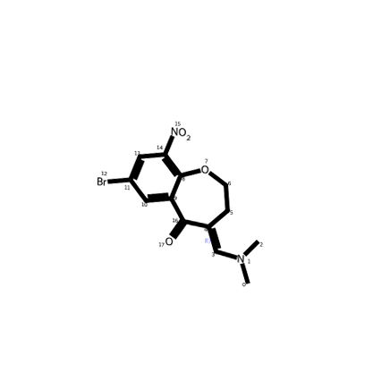 CN(C)/C=C1\CCOc2c(cc(Br)cc2[N+](=O)[O-])C1=O